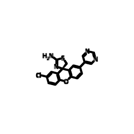 NC1=N[C@@]2(CS1)c1cc(Cl)ccc1Oc1ccc(-c3cncnc3)cc12